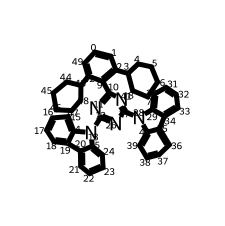 c1cc(C2CCCCC2)c(-c2nc(-n3c4ccccc4c4ccccc43)nc(-n3c4ccccc4c4ccccc43)n2)c(C2CCCCC2)c1